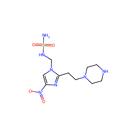 NS(=O)(=O)NCn1cc([N+](=O)[O-])nc1CCN1CCNCC1